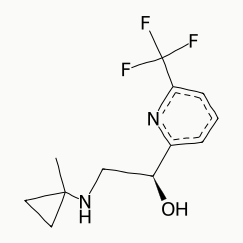 CC1(NC[C@H](O)c2cccc(C(F)(F)F)n2)CC1